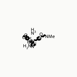 CNCCC(=O)N1CCC(CCn2c(Sc3cc4c(cc3Br)OCO4)nc3c(N)ncnc32)CC1.N